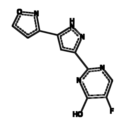 Oc1nc(-c2cc(-c3ccon3)[nH]n2)ncc1F